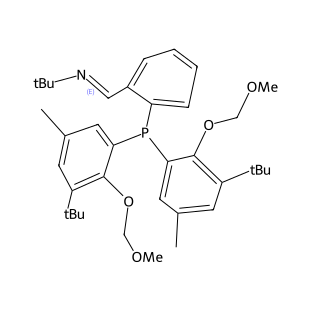 COCOc1c(P(c2ccccc2/C=N/C(C)(C)C)c2cc(C)cc(C(C)(C)C)c2OCOC)cc(C)cc1C(C)(C)C